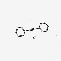 C(#Cc1ccccc1)c1ccccc1.[Zr]